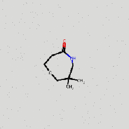 CC1(C)CCCCC(=O)NC1